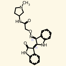 CN1CCC(NC(=O)CO/N=C2/C(=C3\C(=O)Nc4ccccc43)Nc3ccccc32)C1